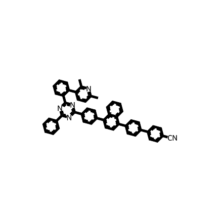 Cc1ccc(-c2ccccc2-c2nc(-c3ccccc3)nc(-c3ccc(-c4ccc(-c5ccc(-c6ccc(C#N)cc6)cc5)c5ccccc45)cc3)n2)c(C)n1